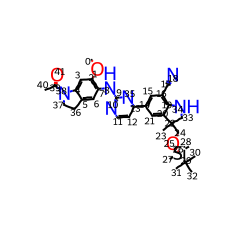 COc1cc2c(cc1Nc1nccc(-c3cc(C#N)c4c(c3)C(C)(CO[Si](C)(C)C(C)(C)C)CN4)n1)CCN2C(C)=O